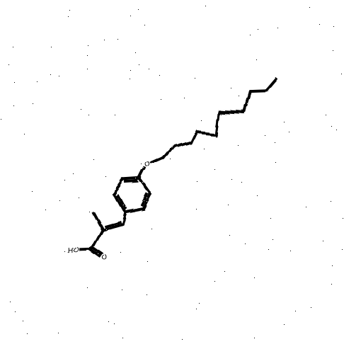 CCCCCCCCCCOc1ccc(/C=C(\C)C(=O)O)cc1